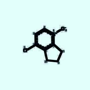 [O-][n+]1ccc(Cl)c2c1CCC2